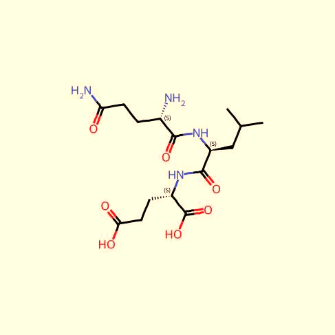 CC(C)C[C@H](NC(=O)[C@@H](N)CCC(N)=O)C(=O)N[C@@H](CCC(=O)O)C(=O)O